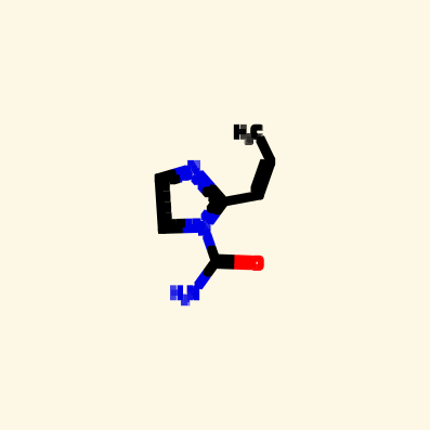 C/C=C\c1nccn1C(N)=O